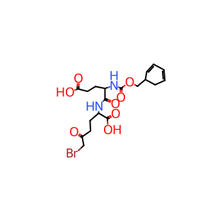 O=C(O)CCC(NC(=O)OCC1C=CC=CC1)C(=O)NC(CCC(=O)CBr)C(=O)O